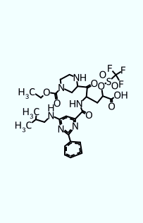 CCOC(=O)N1CCNC(C(=O)C(CC(OS(=O)(=O)C(F)(F)F)C(=O)O)NC(=O)c2cc(NCC(C)C)nc(-c3ccccc3)n2)C1